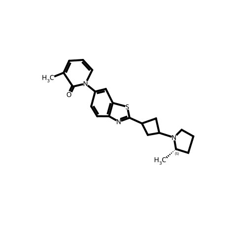 Cc1cccn(-c2ccc3nc(C4CC(N5CCC[C@@H]5C)C4)sc3c2)c1=O